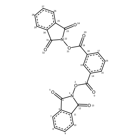 O=C(ON1C(=O)c2ccccc2C1=O)c1cccc(C(=O)ON2C(=O)c3ccccc3C2=O)c1